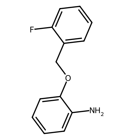 Nc1ccccc1OCc1ccccc1F